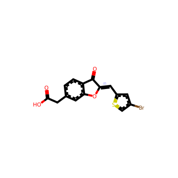 O=C(O)Cc1ccc2c(c1)O/C(=C\c1cc(Br)cs1)C2=O